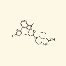 CC(CC(=O)N1CCCC2C(C(O)O)CCCC21)c1cn(C)c2nccc(-c3ccc(F)s3)c12